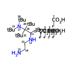 CC(=O)O.CC(=O)O.CC(=O)O.CC(=O)O.CC(=O)O.CC(C)(C)C(NCCN)C(N(C(C)(C)C)C(C)(C)C)(C(C)(C)C)C(C)(C)C